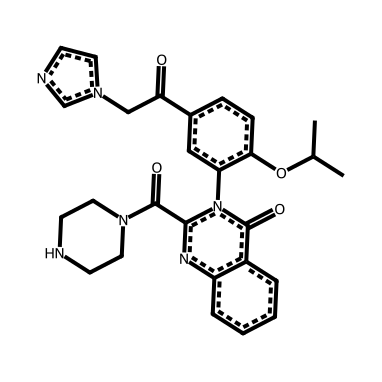 CC(C)Oc1ccc(C(=O)Cn2ccnc2)cc1-n1c(C(=O)N2CCNCC2)nc2ccccc2c1=O